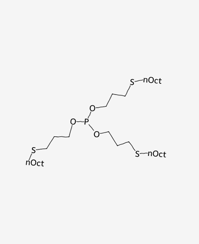 CCCCCCCCSCCCOP(OCCCSCCCCCCCC)OCCCSCCCCCCCC